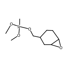 CO[Si](C)(OC)OCC1CCC2OC2C1